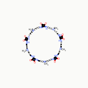 CN1CCCNc2c(c(=O)c2=O)NCCCN(C)CCCNc2c(c(=O)c2=O)NCCCN(C)CCCNc2c(c(=O)c2=O)NCCCN(C)CCCNc2c(c(=O)c2=O)NCCCN(C)CCCNc2c(c(=O)c2=O)NCCC1